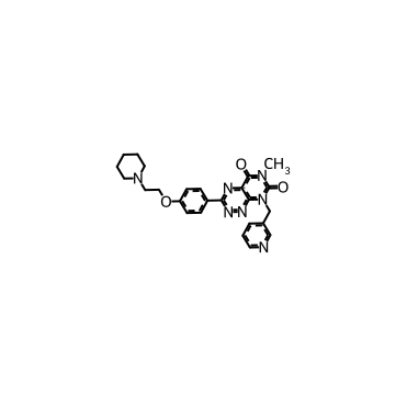 Cn1c(=O)c2nc(-c3ccc(OCCN4CCCCC4)cc3)nnc2n(Cc2cccnc2)c1=O